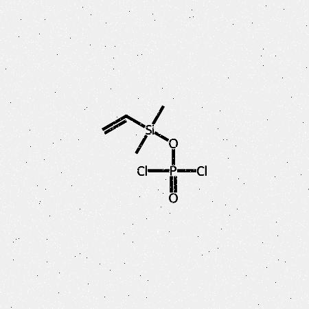 C=C[Si](C)(C)OP(=O)(Cl)Cl